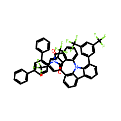 O=C1c2cccc(-n3c4c(-c5cc(C(F)(F)F)cc(C(F)(F)F)c5)cccc4c4cccc(-c5cc(C(F)(F)F)cc(C(F)(F)F)c5)c43)c2C(=O)N1c1ccc(-c2ccccc2)cc1-c1ccccc1